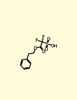 O=C(OCCc1ccccc1)C(F)(F)S(=O)(=O)O